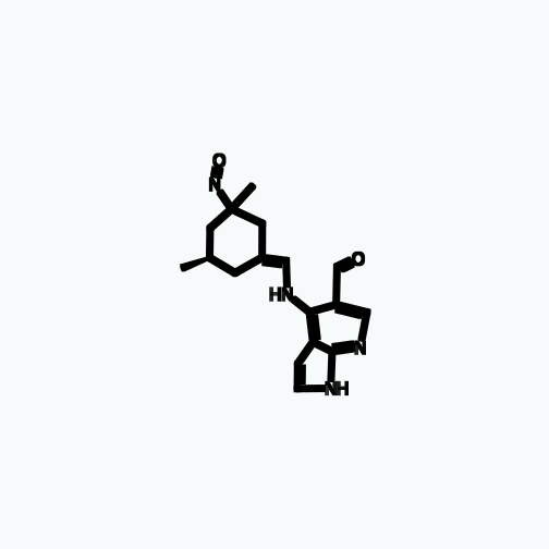 C[C@@H]1C/C(=C\Nc2c(C=O)cnc3[nH]ccc23)CC(C)(N=O)C1